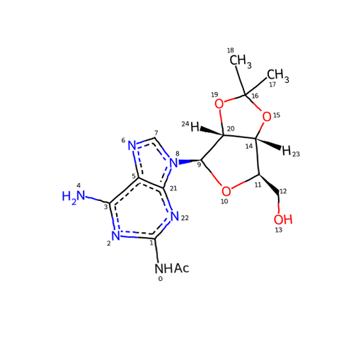 CC(=O)Nc1nc(N)c2ncn([C@@H]3O[C@H](CO)[C@H]4OC(C)(C)O[C@H]43)c2n1